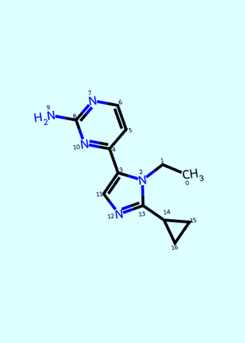 CCn1c(-c2ccnc(N)n2)cnc1C1CC1